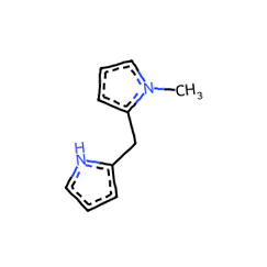 Cn1cccc1Cc1ccc[nH]1